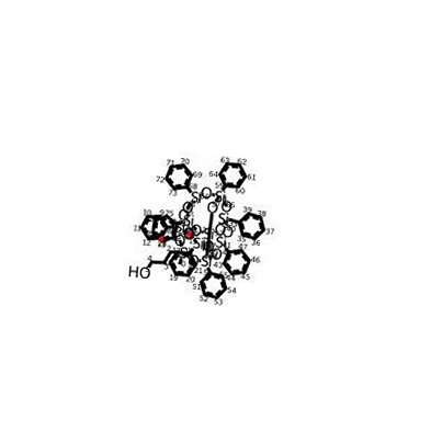 C[Si]1(CCCO)O[Si]2(c3ccccc3)O[Si]3(c4ccccc4)O[Si]4(c5ccccc5)O[SiH2]O[Si]5(c6ccccc6)O[Si](c6ccccc6)(O[Si](c6ccccc6)(O1)O[Si](c1ccccc1)(O5)O[Si](c1ccccc1)(O4)O2)O3